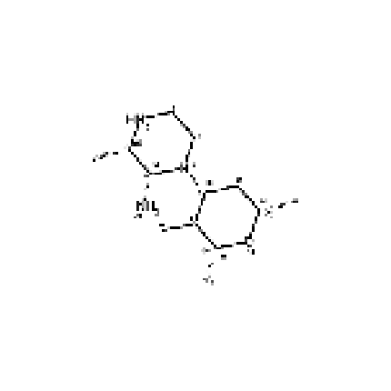 CC1[C@H](N2CCN[C@@H](C)[C@H]2N)C[C@H](C)O[C@@H]1C